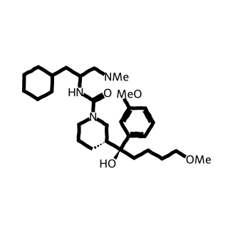 CNCC(CC1CCCCC1)NC(=O)N1CCC[C@@H]([C@@](O)(CCCCOC)c2cccc(OC)c2)C1